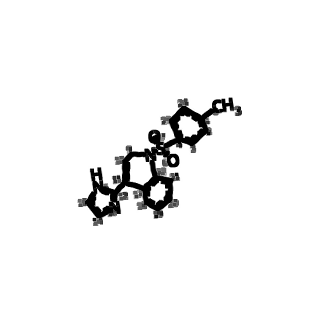 Cc1ccc(S(=O)(=O)N2CC=C(c3ncc[nH]3)c3ccccc32)cc1